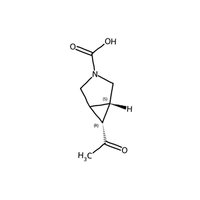 CC(=O)[C@@H]1C2CN(C(=O)O)C[C@@H]21